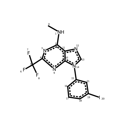 CNc1nc(C(F)(F)F)nc2c1ncn2-c1cccc(I)c1